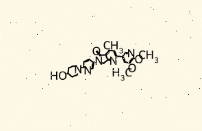 COc1cc(-c2cc(C)c3c(n2)CN(c2ccc(N4CCC(O)CC4)nc2)C3=O)cnc1OC